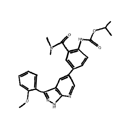 COc1ccccc1-c1n[nH]c2ncc(-c3ccc(NC(=O)OC(C)C)c(C(=O)N(C)C)c3)cc12